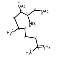 C=C(C)CCCC(C)CC(OC(C)=O)C(COC(C)=O)[N+](=O)[O-]